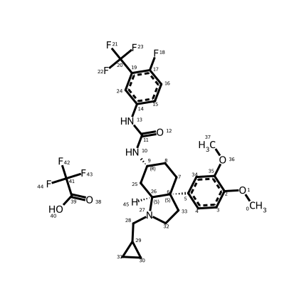 COc1ccc([C@@]23CC[C@@H](NC(=O)Nc4ccc(F)c(C(F)(F)F)c4)C[C@@H]2N(CC2CC2)CC3)cc1OC.O=C(O)C(F)(F)F